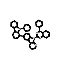 c1ccc(-c2nc(-n3c4ccc(-c5cccc6c7ccccc7n(-c7ccccc7)c56)cc4c4cccnc43)nc3ccccc23)cc1